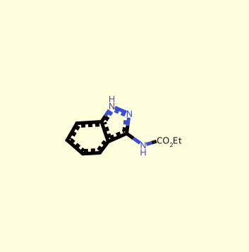 CCOC(=O)Nc1n[nH]c2ccccc12